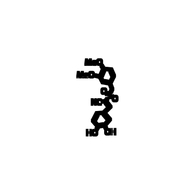 COc1ccc(CS(=O)(=O)C(C#N)=Cc2ccc(O)c(O)c2)cc1OC